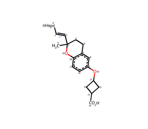 CCCCCCC/C=C/C1(C)CCc2cc(OC3CC(C(=O)O)C3)ccc2O1